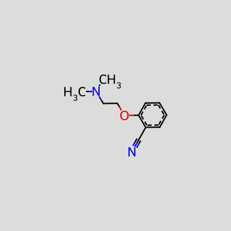 CN(C)CCOc1ccccc1C#N